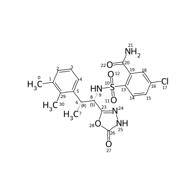 Cc1cccc([C@@H](C)[C@H](NS(=O)(=O)c2ccc(Cl)cc2C(N)=O)c2n[nH]c(=O)o2)c1C